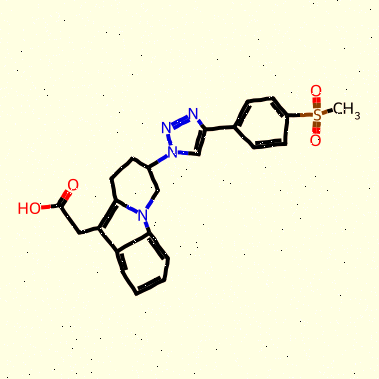 CS(=O)(=O)c1ccc(-c2cn(C3CCc4c(CC(=O)O)c5ccccc5n4C3)nn2)cc1